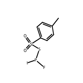 Cc1ccc(S(=O)(=O)SP(F)I)cc1